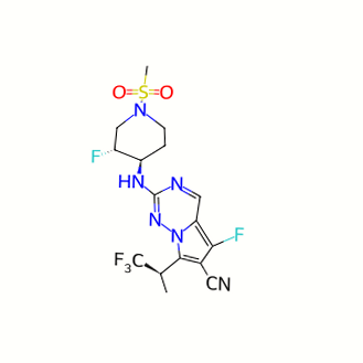 C[C@H](c1c(C#N)c(F)c2cnc(N[C@@H]3CCN(S(C)(=O)=O)C[C@H]3F)nn12)C(F)(F)F